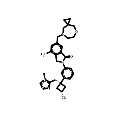 Cn1cnnc1C[C@]1(c2cccc(N3Cc4c(cc(CN5CCOCC6(CC6)C5)cc4C(F)(F)F)C3=O)c2)C[C@H](C#N)C1